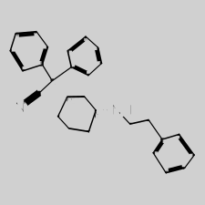 N#CC(c1ccccc1)(c1ccccc1)[C@H]1CCC[C@@H](NCCc2ccccc2)C1